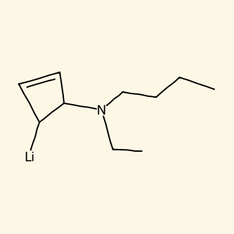 [Li][CH]1C=CC1N(CC)CCCC